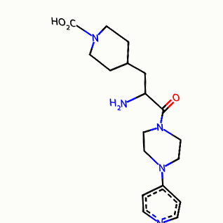 NC(CC1CCN(C(=O)O)CC1)C(=O)N1CCN(c2ccncc2)CC1